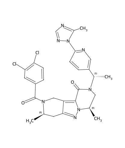 Cc1ncnn1-c1ccc([C@H](C)N2C[C@@H](C)n3nc4c(c3C2=O)CN(C(=O)c2ccc(Cl)c(Cl)c2)[C@H](C)C4)cn1